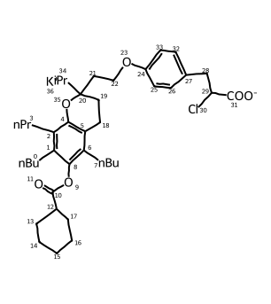 CCCCc1c(CCC)c2c(c(CCCC)c1OC(=O)C1CCCCC1)CCC(CCOc1ccc(CC(Cl)C(=O)[O-])cc1)(C(C)C)O2.[K+]